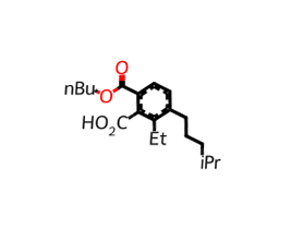 CCCCOC(=O)c1ccc(CCCC(C)C)c(CC)c1C(=O)O